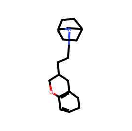 C1=CC2=C(CC1)CC(CCN1CC3CCC(CC3)C1)CO2